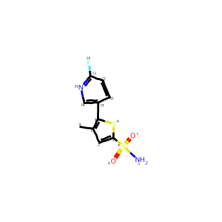 Cc1cc(S(N)(=O)=O)sc1-c1ccc(F)nc1